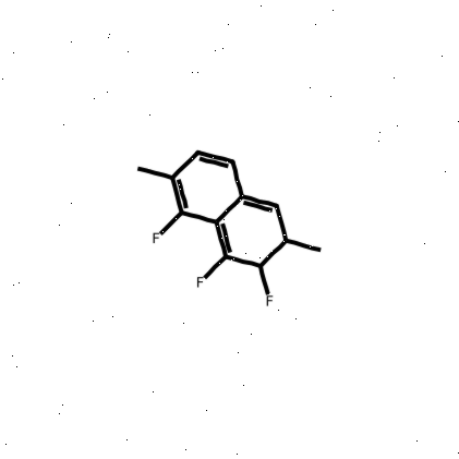 Cc1ccc2c(c1F)=C(F)C(F)C(C)C=2